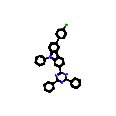 Brc1ccc(-c2ccc3c(c2)c2ccc(C4=NC(c5ccccc5)=NC(c5ccccc5)N4)cc2n3-c2ccccc2)cc1